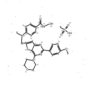 COc1ccc(-c2nc(N3CCOCC3)c3sc(CN(C)c4ncc(C(=O)NO)cn4)cc3n2)cn1.CS(=O)(=O)O